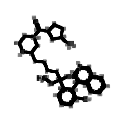 COC(O)(CCCCC1CN(C(=O)C2CCC(N)C2)CCO1)c1cccc(Cl)c1-c1cncc2ccccc12